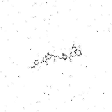 O=C(NCc1cncc(C(F)(F)F)c1)c1cn(CCC(F)Cn2cc(C(=O)NCc3cccc(O)c3)nn2)nn1